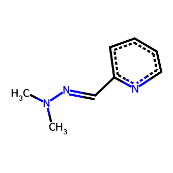 CN(C)N=Cc1ccccn1